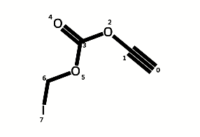 C#COC(=O)OCI